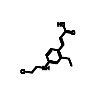 CCc1cc(NCCCl)ccc1C=CC(=O)O